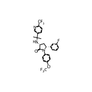 CC(C)(N[C@@H]1C[C@H](c2cccc(F)c2)N(c2ccc(OC(F)(F)F)cc2)C1=O)c1ccc(C(F)(F)F)nc1